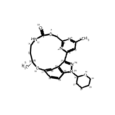 Cc1cc2nc(n1)COC(=O)NCC[C@@H](C)Oc1ccc3c(c1)c-2nn3C1CCCCO1